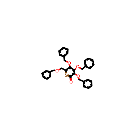 O=c1sc(COCc2ccccc2)c(OCc2ccccc2)c(OCc2ccccc2)c1OCc1ccccc1